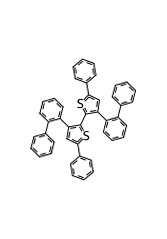 c1ccc(-c2cc(-c3ccccc3-c3ccccc3)c(-c3sc(-c4ccccc4)cc3-c3ccccc3-c3ccccc3)s2)cc1